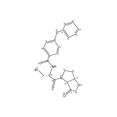 CC(C)C[C@H](NC(=O)c1ccc(Oc2ccccc2)cc1)C(=O)N1CCC2OCC(=O)C21